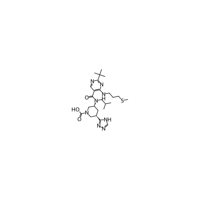 CSCCCNc1nc(C(C)(C)C)ncc1C(=O)N(CC(C)C)[C@H]1C[C@@H](c2nnc[nH]2)CN(C(=O)O)C1